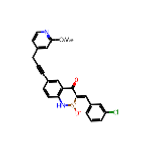 COc1cc(CC#Cc2ccc3c(c2)C(=O)/C(=C/c2cccc(Cl)c2)[S+]([O-])N3)ccn1